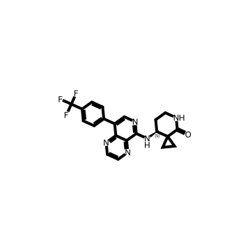 O=C1NCC[C@H](Nc2ncc(-c3ccc(C(F)(F)F)cc3)c3nccnc23)C12CC2